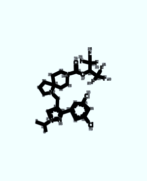 CC(C)n1cc(CN2CCCC23CCN(C(=O)OC(C(F)(F)F)C(F)(F)F)CC3)c(-c2cc(Cl)cc(Cl)c2)n1